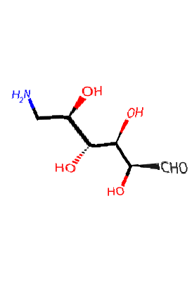 NC[C@@H](O)[C@@H](O)[C@@H](O)[C@H](O)C=O